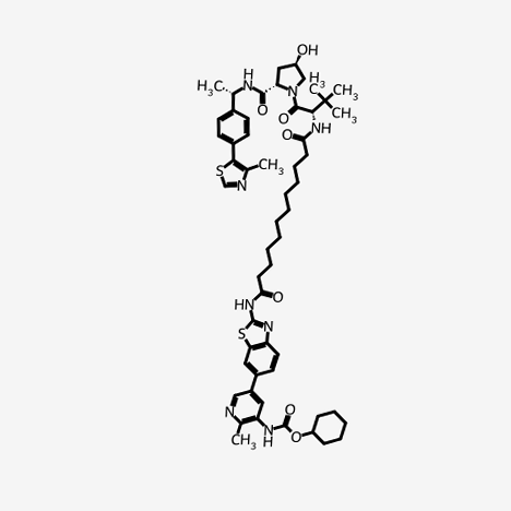 Cc1ncc(-c2ccc3nc(NC(=O)CCCCCCCCCCC(=O)N[C@H](C(=O)N4C[C@H](O)C[C@H]4C(=O)N[C@@H](C)c4ccc(-c5scnc5C)cc4)C(C)(C)C)sc3c2)cc1NC(=O)OC1CCCCC1